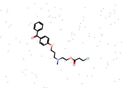 CN(CCCOc1ccc(C(=O)c2ccccc2)cc1)CCOC(=O)CCCl